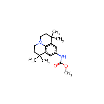 COC(=O)Nc1cc2c3c(c1)C(C)(C)CCN3CCC2(C)C